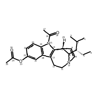 CC[C@@H](C(C)C)C1[C@H]2C=CN1CCc1c2n(C(C)=O)c2ccc(OC(C)=O)cc12